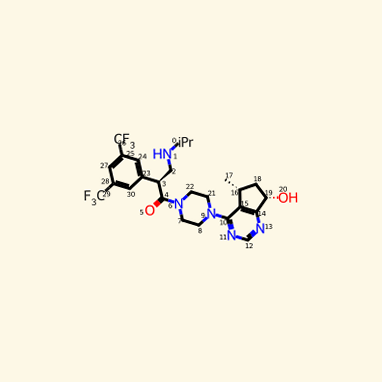 CC(C)NC[C@@H](C(=O)N1CCN(c2ncnc3c2[C@H](C)C[C@@H]3O)CC1)c1cc(C(F)(F)F)cc(C(F)(F)F)c1